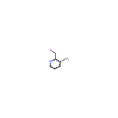 FC(F)(F)c1cccnc1CI